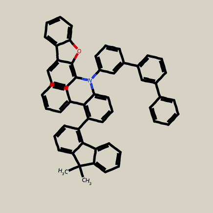 CC1(C)c2ccccc2-c2c(-c3cccc(N(c4cccc(-c5cccc(-c6ccccc6)c5)c4)c4cccc5c4oc4ccccc45)c3-c3ccccc3)cccc21